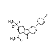 NC(=O)c1nc(S(N)(=O)=O)cc2c1[nH]c1ccc(-c3ccc(F)cc3)cc12